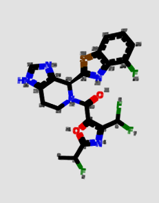 CC(F)c1nc(C(F)F)c(C(=O)N2CCc3[nH]cnc3[C@H]2c2nc3c(F)cccc3s2)o1